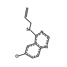 C=CC[Se]c1ncnc2ccc(Cl)cc12